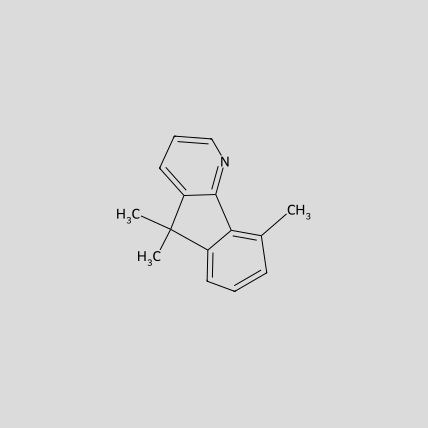 Cc1cccc2c1-c1ncccc1C2(C)C